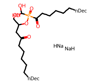 CCCCCCCCCCCCCCCC(=O)CC(CO)OP(=O)(C(=O)CCCCCCCCCCCCCCC)C(O)O.[NaH].[NaH]